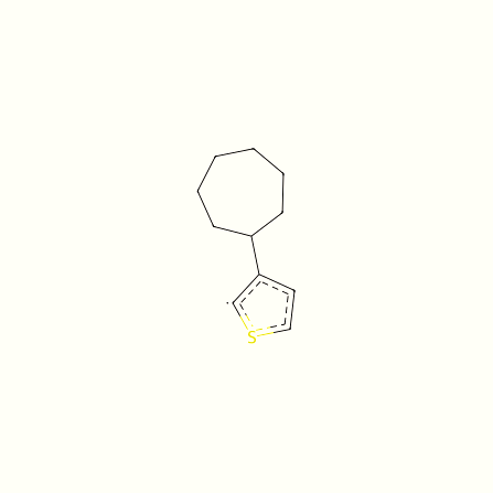 [c]1sccc1C1CCCCCC1